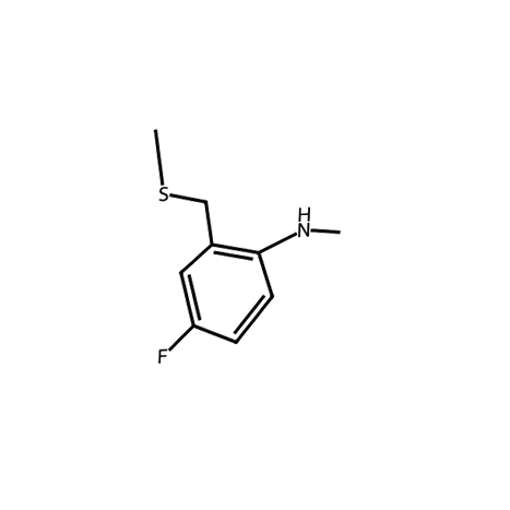 CNc1ccc(F)cc1CSC